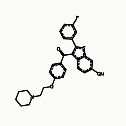 O=C(c1ccc(OCCN2CCCCC2)cc1)c1c(-c2cccc(F)c2)sc2cc(O)ccc12